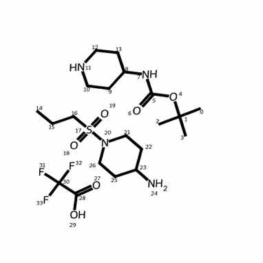 CC(C)(C)OC(=O)NC1CCNCC1.CCCS(=O)(=O)N1CCC(N)CC1.O=C(O)C(F)(F)F